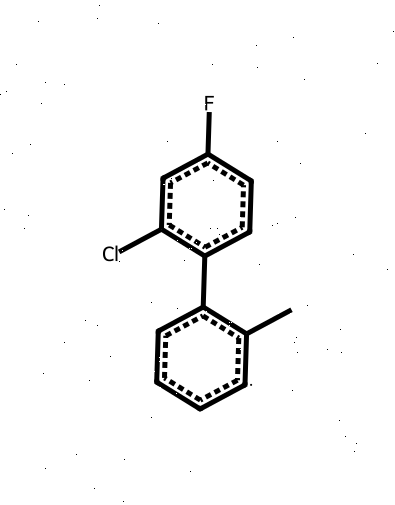 Cc1[c]cccc1-c1ccc(F)cc1Cl